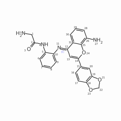 NCC(=O)Nc1ccccc1/N=c1\cc(-c2ccc3c(c2)OCO3)oc2c(N)cccc12